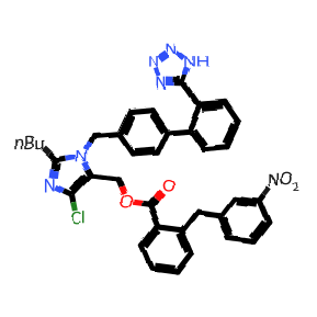 CCCCc1nc(Cl)c(COC(=O)c2ccccc2Cc2cccc([N+](=O)[O-])c2)n1Cc1ccc(-c2ccccc2-c2nnn[nH]2)cc1